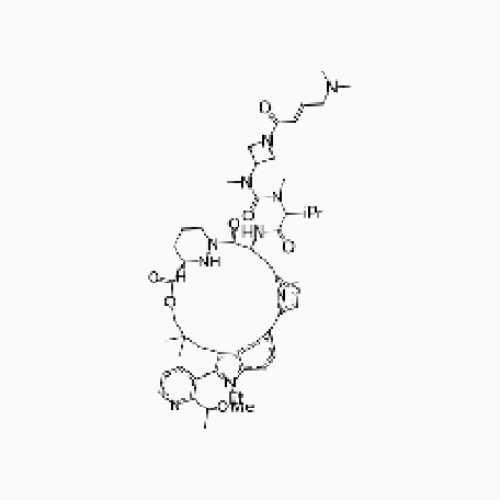 CCn1c(-c2cccnc2[C@H](C)OC)c2c3cc(ccc31)-c1csc(n1)C[C@H](NC(=O)C(C(C)C)N(C)C(=O)N(C)C1CN(C(=O)/C=C/CN(C)C)C1)C(=O)N1CCC[C@H](N1)C(=O)OCC(C)(C)C2